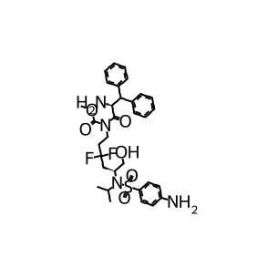 COC(=O)N(CCC(F)(F)C[C@@H](CO)N(C(C)C)S(=O)(=O)c1ccc(N)cc1)C(=O)[C@@H](N)C(c1ccccc1)c1ccccc1